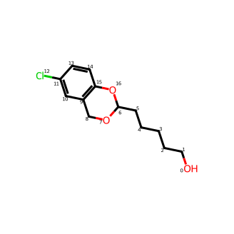 OCCCCCC1OCc2cc(Cl)ccc2O1